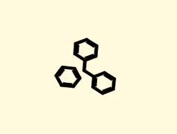 c1ccc(Cc2ccccc2)cc1.c1ccccc1